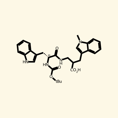 Cn1cc(CC(CNC(=O)[C@@H](Cc2c[nH]c3ccccc23)NC(=O)OC(C)(C)C)C(=O)O)c2ccccc21